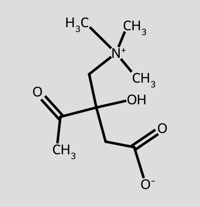 CC(=O)C(O)(CC(=O)[O-])C[N+](C)(C)C